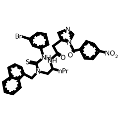 CCCC(CN(Cc1cccc2ccccc12)C(=S)Nc1cccc(Br)c1)NC(=O)Cc1cncn1C(=O)c1ccc([N+](=O)[O-])cc1